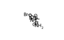 CCCN(CCCOC(N)=O)C(=O)C1=Cc2ccc(Br)cc2N=C(N)C1